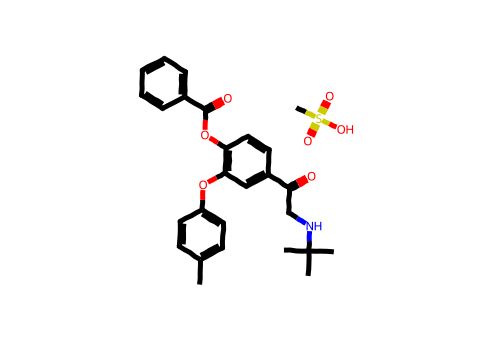 CS(=O)(=O)O.Cc1ccc(Oc2cc(C(=O)CNC(C)(C)C)ccc2OC(=O)c2ccccc2)cc1